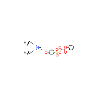 CCCCN(CCCC)CCCOc1ccc(S(=O)(=O)OC(=O)C(=O)Oc2ccccc2)cc1